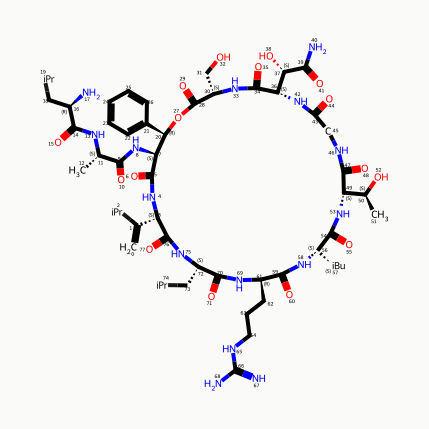 C=C(C(C)C)[C@@H]1NC(=O)[C@@H](NC(=O)[C@H](C)NC(=O)[C@H](N)CC(C)C)[C@@H](c2ccccc2)OC(=O)[C@H](CO)NC(=O)[C@H]([C@H](O)C(N)=O)NC(=O)CNC(=O)[C@H]([C@H](C)O)NC(=O)[C@H]([C@@H](C)CC)NC(=O)[C@@H](CCCNC(=N)N)NC(=O)[C@H](CC(C)C)NC1=O